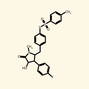 Cc1ccc(S(=O)(=O)Oc2ccc(CC3C(c4ccc(F)cc4)C(O)C(=O)N3C)cc2)cc1